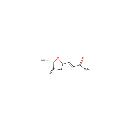 C=C1CC(/C=C/C(=O)OC(C)=O)O[C@H]1CCC